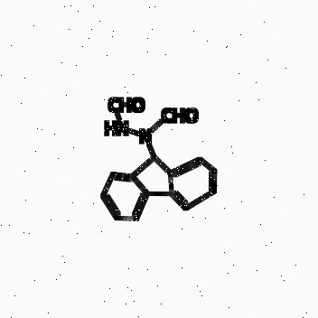 O=CNN(C=O)C1c2ccccc2-c2ccccc21